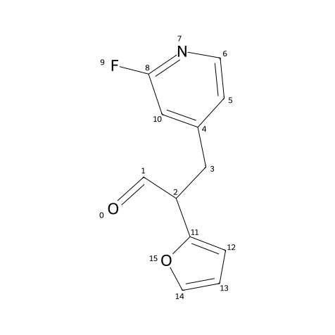 O=CC(Cc1ccnc(F)c1)c1ccco1